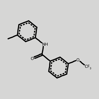 Cc1cccc(NC(=O)c2cccc(OC(F)(F)F)c2)c1